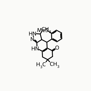 CSc1ccccc1C1C2=C(CC(C)(C)CC2=O)NC2=NNC(C)C21